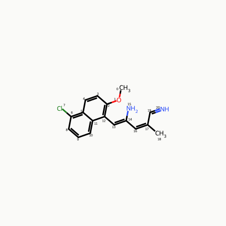 COc1ccc2c(Cl)cccc2c1/C=C(N)/C=C(/C)C=N